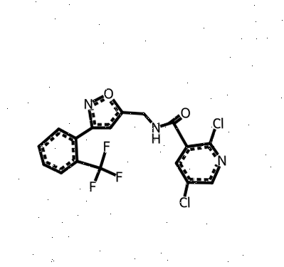 O=C(NCc1cc(-c2ccccc2C(F)(F)F)no1)c1cc(Cl)cnc1Cl